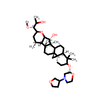 CCO[C@H](C(C)O)C1C[C@@H](C)[C@H]2C(O1)[C@H](O)[C@@]1(C)C3CC[C@H]4C(C)(C)C(O[C@H]5CN(C6CCOC6)CCO5)CC[C@@]45C[C@@]35CC[C@]21C